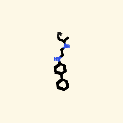 CC(C)CC(C)NCCNc1ccc(-c2ccccc2)cc1